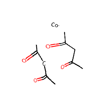 CC(=O)CC(C)=O.CC(=O)CC(C)=O.[Co]